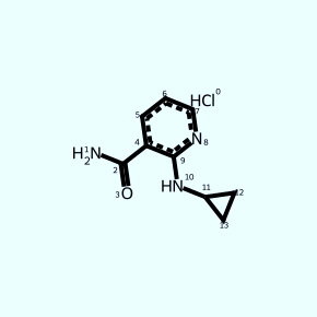 Cl.NC(=O)c1cccnc1NC1CC1